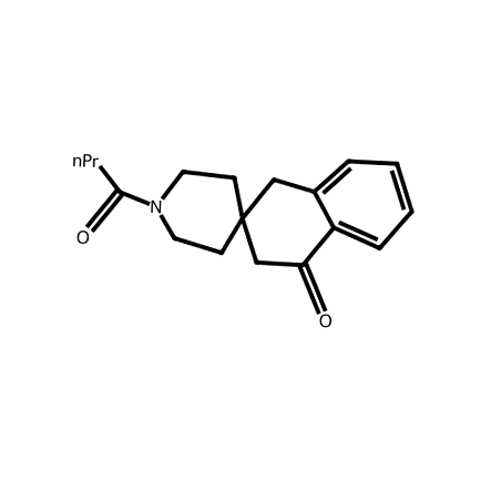 CCCC(=O)N1CCC2(CC1)CC(=O)c1ccccc1C2